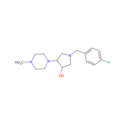 O=C(O)N1CCN(C2CN(Cc3ccc(F)cc3)CC2O)CC1